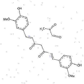 CC(=O)C=O.COc1cc(/C=C/C(=O)CC(=O)/C=C/c2ccc(O)c(OC)c2)ccc1O